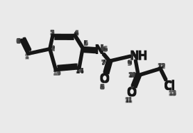 C=CC1C=CC(=NC(=O)NC(=O)CCl)C=C1